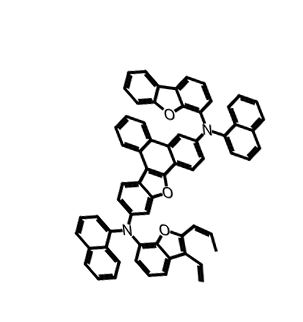 C=Cc1c(/C=C\C)oc2c(N(c3ccc4c(c3)oc3c5ccc(N(c6cccc7ccccc67)c6cccc7c6oc6ccccc67)cc5c5ccccc5c43)c3cccc4ccccc34)cccc12